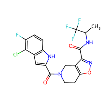 CC(NC(=O)c1noc2c1CN(C(=O)c1cc3c(Cl)c(F)ccc3[nH]1)CC2)C(F)(F)F